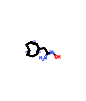 N/C(CC1=C/C/C=C/C/C=C\1)=N\O